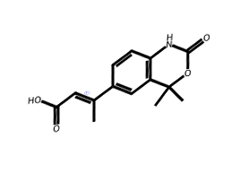 C/C(=C\C(=O)O)c1ccc2c(c1)C(C)(C)OC(=O)N2